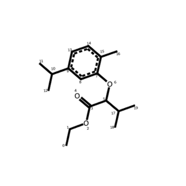 CCOC(=O)C(Oc1cc(C(C)C)ccc1C)C(C)C